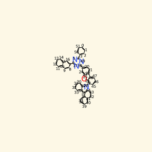 c1ccc(-c2nc(-c3ccc4ccccc4c3)nc(-c3ccc4c(c3)oc3c(-n5c6ccccc6c6c7ccccc7ccc65)cccc34)n2)cc1